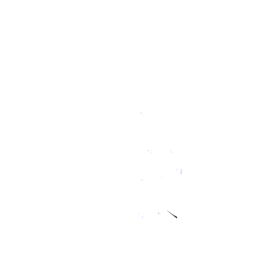 C[C@H]1NCC[C@@H]2[C@H]1NC(=O)N2c1nc2c3c(ccc2s1)OCC3